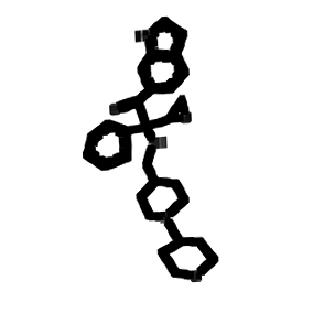 O=C(c1ccc2cc[nH]c2c1)C(NCC1CCN(C2CCOCC2)CC1)(c1ccccc1)C1CO1